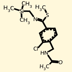 CS/C(=N\C[Si](C)(C)C)c1ccc(CNC(C)=O)c(Cl)c1